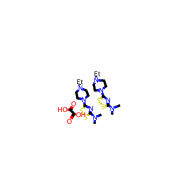 CCN1CCN(C2N=C(N(C)C)SS2)CC1.CCN1CCN(C2N=C(N(C)C)SS2)CC1.O=C(O)C(=O)O